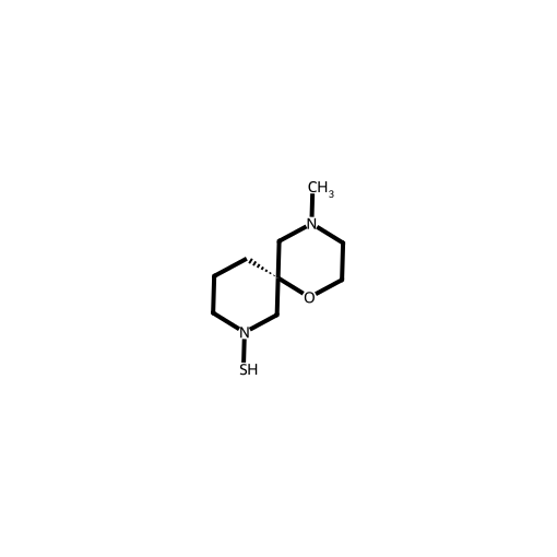 CN1CCO[C@]2(CCCN(S)C2)C1